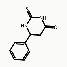 O=C1CC(c2ccccc2)NC(=S)N1